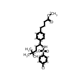 COC(=O)CCCc1ccc(C(CCC(C)(C)C)NS(=O)(=O)c2ccc(Cl)cc2)cc1